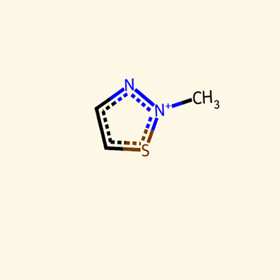 C[n+]1nccs1